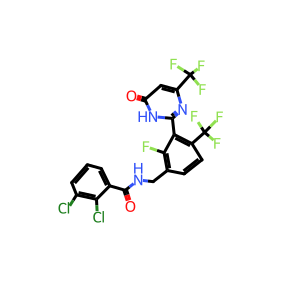 O=C(NCc1ccc(C(F)(F)F)c(-c2nc(C(F)(F)F)cc(=O)[nH]2)c1F)c1cccc(Cl)c1Cl